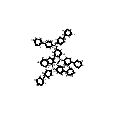 c1ccc(-c2ccc(N3B4c5cc(-c6ccccc6)ccc5N(c5ccc(-c6ccccc6)cc5)c5c4c(cc4ccccc54)-c4cc(N(c5ccc(-c6ccccc6)cc5)c5ccc(-c6ccccc6)cc5)ccc43)cc2)cc1